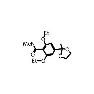 CCOc1cc(C2(C)OCCO2)cc(OCC)c1C(=O)NC